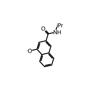 CC(C)NC(=O)c1cc([O])c2ccccc2c1